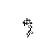 N#Cc1cc(F)ccc1OCC1CCN(C(=O)N2CC[C@@H]3OCC(=O)N[C@@H]3C2)CC1